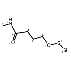 CNC(=O)CCCOSS